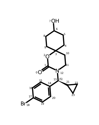 O=C1OC2(CCC(O)CC2)CCN1[C@H](c1ccc(Br)cc1)C1CC1